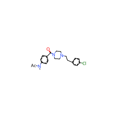 CC(=O)N(C)c1ccc(C(=O)N2CCN(CCc3ccc(Cl)cc3)CC2)cc1